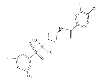 CC(C)([C@H]1C[C@H](NC(=O)c2ccc(Cl)c(F)c2)C1)S(=O)(=O)c1cc(F)cc(C(F)(F)F)c1